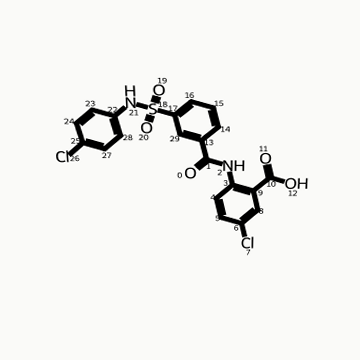 O=C(Nc1ccc(Cl)cc1C(=O)O)c1cccc(S(=O)(=O)Nc2ccc(Cl)cc2)c1